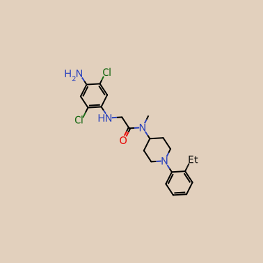 CCc1ccccc1N1CCC(N(C)C(=O)CNc2cc(Cl)c(N)cc2Cl)CC1